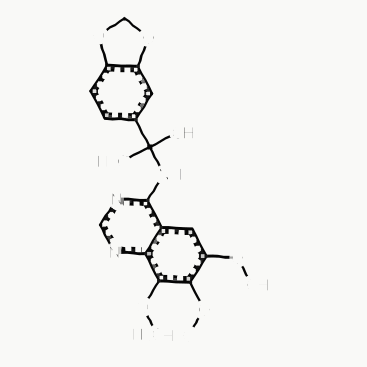 COc1cc2c(NC(C)(C)c3ccc4c(c3)OCO4)ncnc2c(OC)c1OC